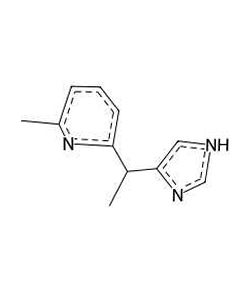 Cc1cccc(C(C)c2c[nH]cn2)n1